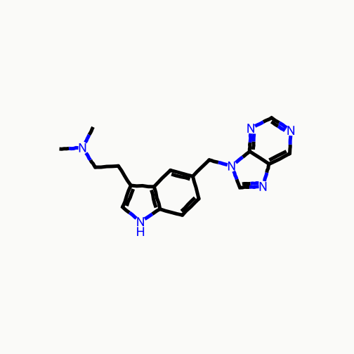 CN(C)CCc1c[nH]c2ccc(Cn3cnc4cncnc43)cc12